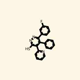 Fc1cccc(-c2nnc(S)c(-c3ccccn3)c2-c2ccccc2)c1